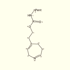 CCCCCNC(=O)OCCC1=CCN=CCC1